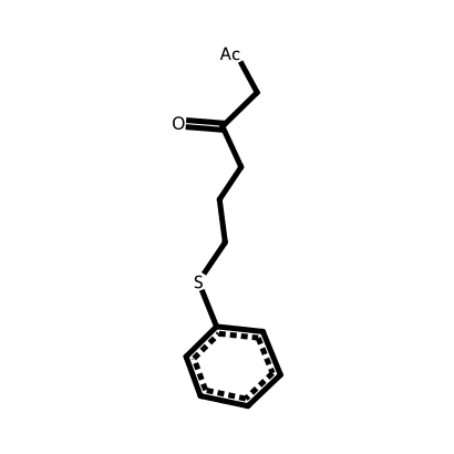 CC(=O)CC(=O)CCCSc1ccccc1